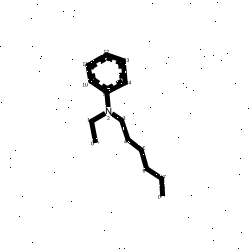 [CH2]CN(CCCCCC)c1ccccc1